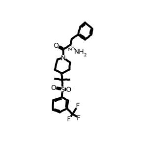 CC(C)(C1CCN(C(=O)[C@@H](N)Cc2ccccc2)CC1)S(=O)(=O)c1cccc(C(F)(F)F)c1